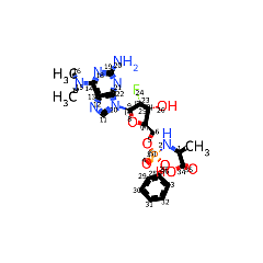 CC(N[P@](=O)(OC[C@H]1O[C@@H](n2cnc3c(N(C)C)nc(N)nc32)[C@H](F)[C@@H]1O)Oc1ccccc1)C(=O)O